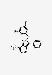 Fc1cc(F)cc(Cn2nc3c(C(F)(F)F)cccc3c2-c2ccccc2)c1